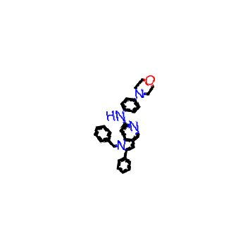 c1ccc(Cn2c(-c3ccccc3)cc3cnc(Nc4ccc(N5CCOCC5)cc4)cc32)cc1